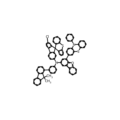 CC1(C)c2ccccc2-c2cccc(-c3cccc(N(c4ccc5c(c4)C4(c6ccccc6Sc6ccccc64)c4cc(Cl)ccc4-5)c4cc(-c5ccc6c(c5)Sc5ccccc5N6c5ccccc5)c5oc6ccccc6c5c4)c3)c21